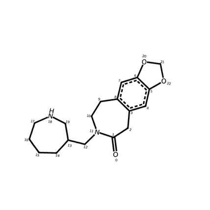 O=C1Cc2cc3c(cc2CCN1CC1CCCCNC1)OCO3